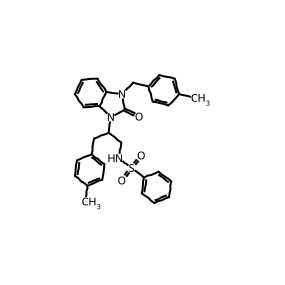 Cc1ccc(CC(CNS(=O)(=O)c2ccccc2)n2c(=O)n(Cc3ccc(C)cc3)c3ccccc32)cc1